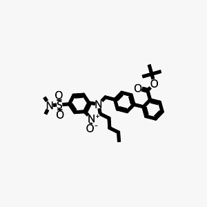 CCCCc1n(Cc2ccc(-c3ccccc3C(=O)OC(C)(C)C)cc2)c2ccc(S(=O)(=O)N(C)C)cc2[n+]1[O-]